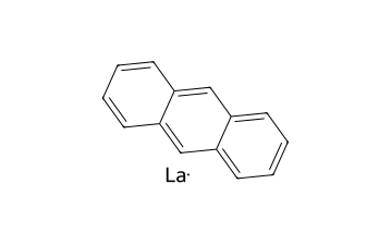 [La].c1ccc2cc3ccccc3cc2c1